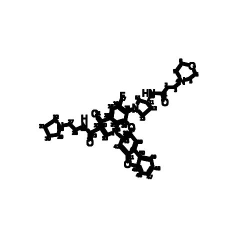 O=C(CCN1CCOCC1)N[C@@H]1CCN(c2c(F)cc3c(=O)c(C(=O)NCCN4CCCC4)cn4c3c2Oc2cc3c(cc2-4)oc2ccccc23)C1